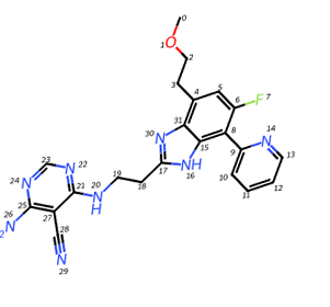 COCCc1cc(F)c(-c2ccccn2)c2[nH]c(CCNc3ncnc(N)c3C#N)nc12